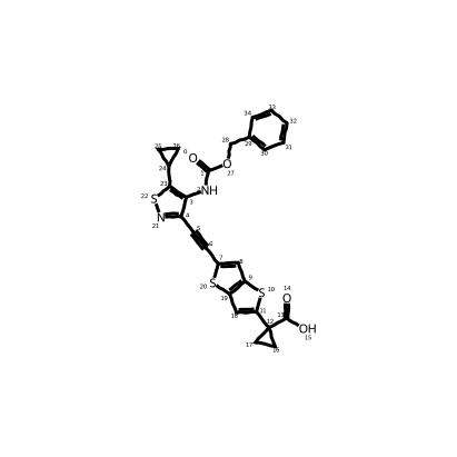 O=C(Nc1c(C#Cc2cc3sc(C4(C(=O)O)CC4)cc3s2)nsc1C1CC1)OCc1ccccc1